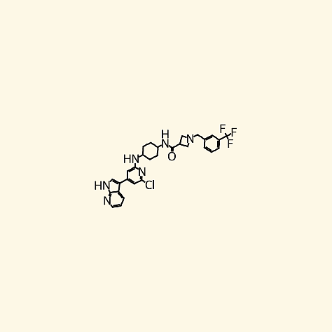 O=C(NC1CCC(Nc2cc(-c3c[nH]c4ncccc34)cc(Cl)n2)CC1)C1CN(Cc2cccc(C(F)(F)F)c2)C1